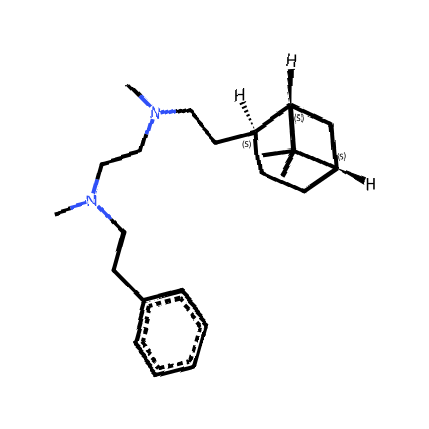 CN(CCc1ccccc1)CCN(C)CC[C@@H]1CC[C@H]2C[C@@H]1C2(C)C